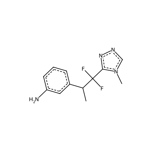 CC(c1cccc(N)c1)C(F)(F)c1nncn1C